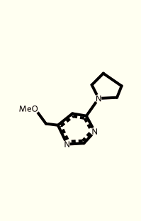 COCc1cc(N2CCCC2)ncn1